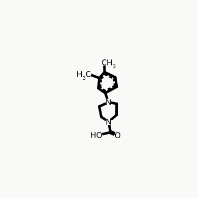 Cc1ccc(N2CCN(C(=O)O)CC2)cc1C